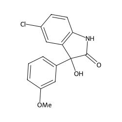 COc1cccc(C2(O)C(=O)Nc3ccc(Cl)cc32)c1